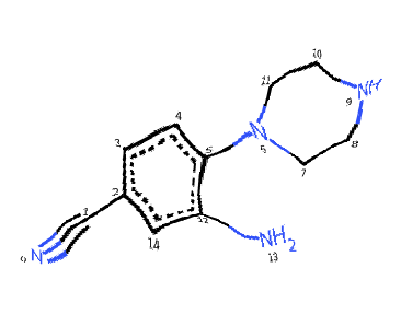 N#Cc1ccc(N2CCNCC2)c(N)c1